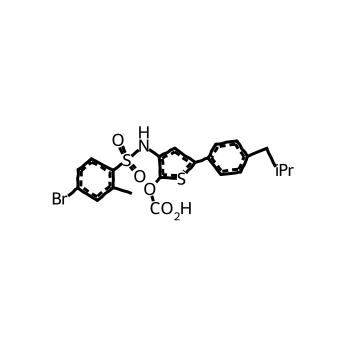 Cc1cc(Br)ccc1S(=O)(=O)Nc1cc(-c2ccc(CC(C)C)cc2)sc1OC(=O)O